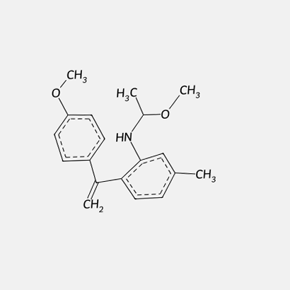 C=C(c1ccc(OC)cc1)c1ccc(C)cc1NC(C)OC